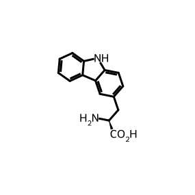 N[C@@H](Cc1ccc2[nH]c3ccccc3c2c1)C(=O)O